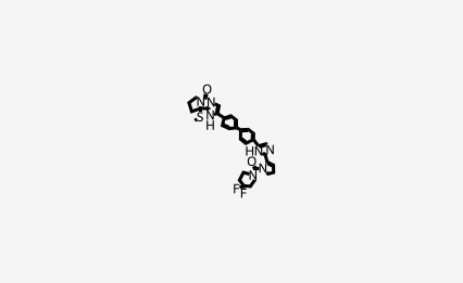 CSC1(c2ncc(-c3ccc(-c4ccc(-c5cnc(C6=CCCN6C(=O)N6CCC(F)(F)CC6)[nH]5)cc4)cc3)[nH]2)CCCN1C=O